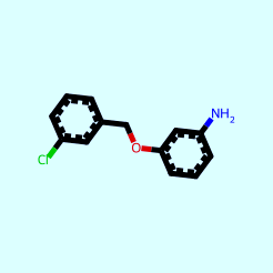 Nc1cccc(OCc2cccc(Cl)c2)c1